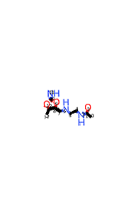 CC(=O)NCCNCc1oc(=N)oc1C